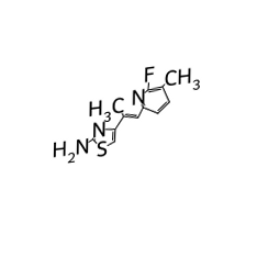 C/C(=C\c1ccc(C)c(F)n1)c1csc(N)n1